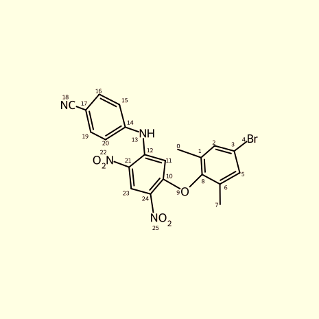 Cc1cc(Br)cc(C)c1Oc1cc(Nc2ccc(C#N)cc2)c([N+](=O)[O-])cc1[N+](=O)[O-]